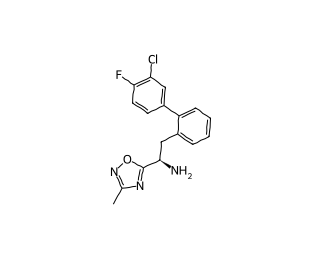 Cc1noc([C@H](N)Cc2ccccc2-c2ccc(F)c(Cl)c2)n1